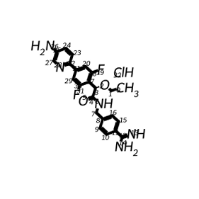 CCO[C@H](C(=O)NCc1ccc(C(=N)N)cc1)c1c(F)cc(-c2ccc(N)cn2)cc1F.Cl